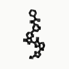 CC(=O)c1ccc(-c2nccc3[nH]c(-c4n[nH]c5ccc(-c6cncc(NC(=O)C7CCCCC7)c6)nc45)nc23)s1